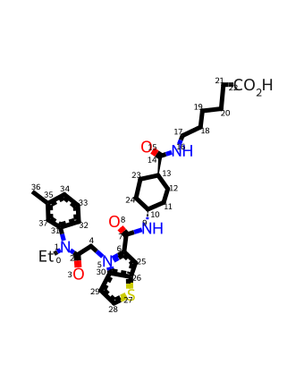 CCN(C(=O)Cn1c(C(=O)N[C@H]2CC[C@H](C(=O)NCCCCCC(=O)O)CC2)cc2sccc21)c1cccc(C)c1